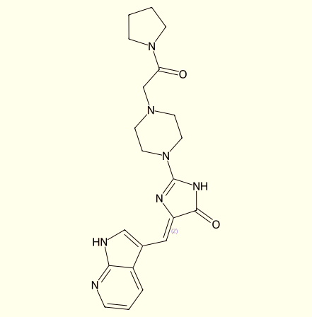 O=C1NC(N2CCN(CC(=O)N3CCCC3)CC2)=N/C1=C\c1c[nH]c2ncccc12